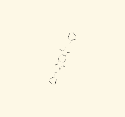 O=C(On1c(=O)c2cc3c(=O)n(OC(=O)c4ccccc4)c(=O)c3cc2c1=O)c1ccccc1